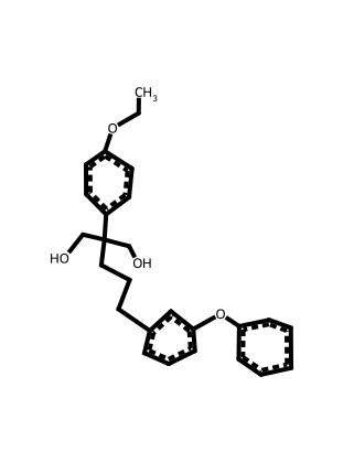 CCOc1ccc(C(CO)(CO)CCCc2cccc(Oc3ccccc3)c2)cc1